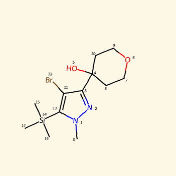 Cn1nc(C2(O)CCOCC2)c(Br)c1[Si](C)(C)C